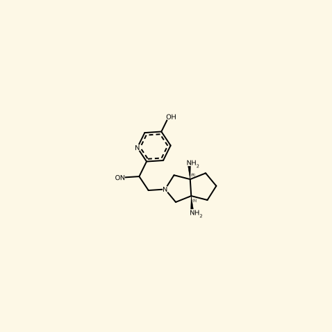 N[C@@]12CCC[C@]1(N)CN(CC(N=O)c1ccc(O)cn1)C2